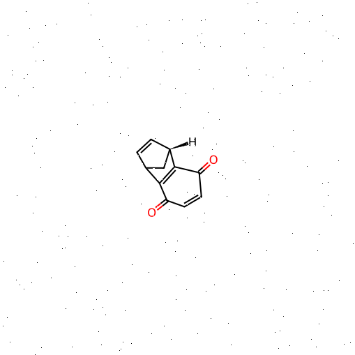 O=C1C=CC(=O)C2=C1C1C=C[C@H]2C1